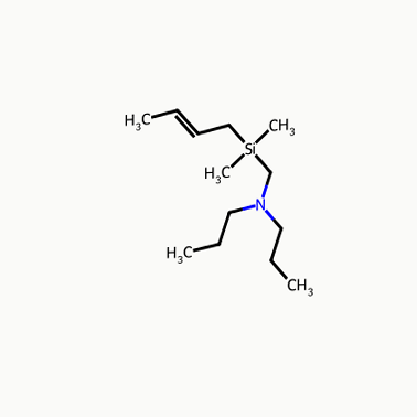 CC=CC[Si](C)(C)CN(CCC)CCC